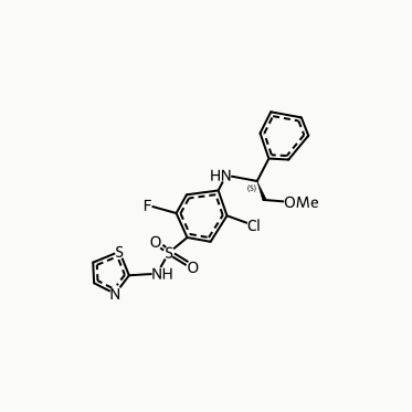 COC[C@@H](Nc1cc(F)c(S(=O)(=O)Nc2nccs2)cc1Cl)c1ccccc1